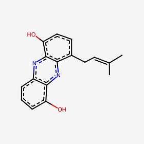 CC(C)=CCc1ccc(O)c2nc3cccc(O)c3nc12